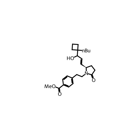 CCCCC1(C(O)C=C[C@H]2CCC(=O)N2CCc2ccc(C(=O)OC)cc2)CCC1